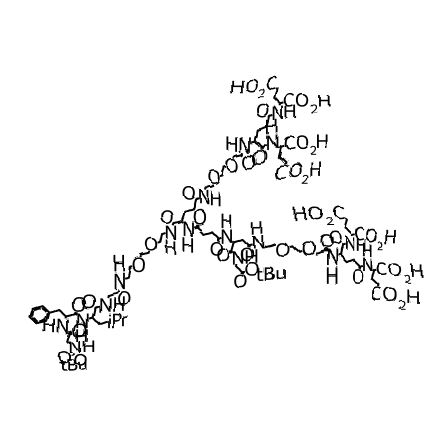 CC(C)CC(NC(=O)C(Cc1ccccc1)NC(=O)CNC(=O)OC(C)(C)C)C(=O)NCC(=O)NCCOCCOCCNC(=O)C(CCC(=O)NCCOCCOCC(=O)NC(CCC(=O)NC(CCC(=O)O)C(=O)O)C(=O)NC(CCC(=O)O)C(=O)O)NC(=O)CCC(=O)NC(CC(=O)NCCOCCOCC(=O)NC(CCC(=O)NC(CCC(=O)O)C(=O)O)C(=O)NC(CCC(=O)O)C(=O)O)C(=O)NCC(=O)OC(C)(C)C